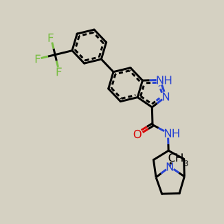 CN1C2CCC1CC(NC(=O)c1n[nH]c3cc(-c4cccc(C(F)(F)F)c4)ccc13)C2